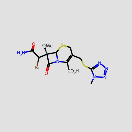 CO[C@]1(C(Br)C(N)=O)C(=O)N2C(C(=O)O)=C(CSc3nnnn3C)CSC21